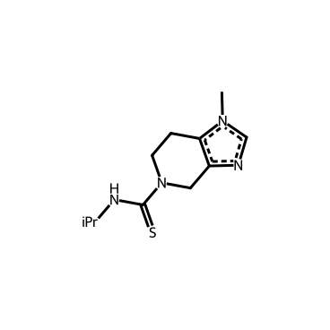 CC(C)NC(=S)N1CCc2c(ncn2C)C1